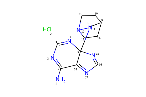 Cl.NC1=NC=NC2(N3CC4CCN3CC4)N=CN=C12